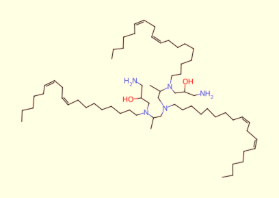 CCCCC/C=C\C/C=C\CCCCCCCCN(CC(C)N(CCCCCCCC/C=C\C/C=C\CCCCC)CC(O)CN)CC(C)N(CCCCCCCC/C=C\C/C=C\CCCCC)CC(O)CN